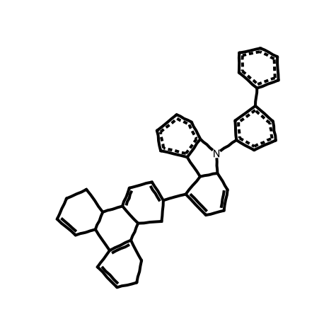 C1=CC2C(C(C3=CC=C4C(C3)C3=C(C=CCC3)C3C=CCCC43)=C1)c1ccccc1N2c1cccc(-c2ccccc2)c1